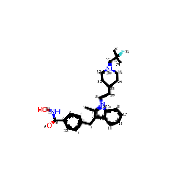 Cc1c(Cc2ccc(C(=O)NO)cc2)c2ccccc2n1CCC1CCN(CC(C)(C)F)CC1